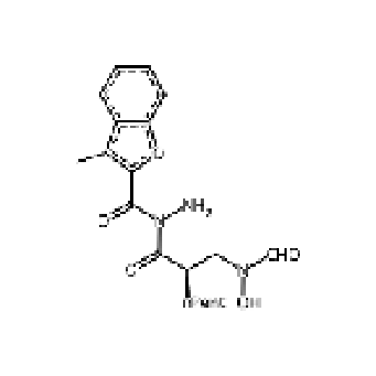 CCCCC[C@H](CN(O)C=O)C(=O)N(N)C(=O)c1oc2ccccc2c1C